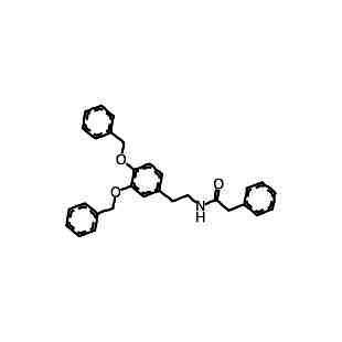 O=C(Cc1ccccc1)NCCc1ccc(OCc2ccccc2)c(OCc2ccccc2)c1